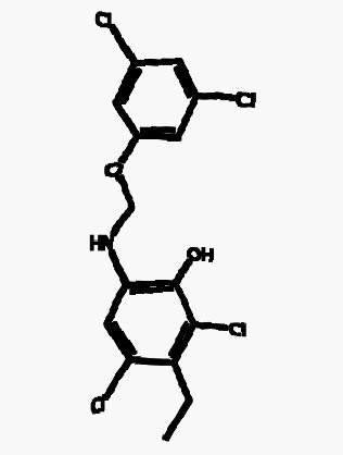 CCc1c(Cl)cc(NCOc2cc(Cl)cc(Cl)c2)c(O)c1Cl